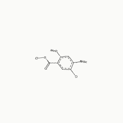 COc1cc(NC(C)=O)c(Cl)cc1C(=O)OCl